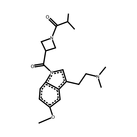 COc1ccc2c(c1)c(CCN(C)C)cn2C(=O)C1CN(C(=O)C(C)C)C1